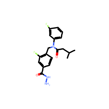 CC(C)CC(=O)N(Cc1ccc(C(=O)NN)cc1F)c1cccc(F)c1